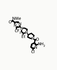 CC[C@H]1CN(c2ncc(C(=O)NC)nc2C(F)(F)F)CCN1C1CCN(C(=O)c2ccc(Cl)nc2N)CC1